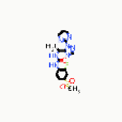 CC(NC(=O)Nc1ccc(S(C)(=O)=O)cc1F)c1ncnn1-c1ncccn1